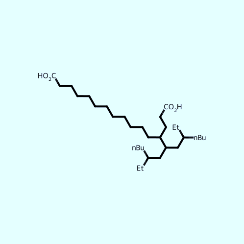 CCCCC(CC)CC(CC(CC)CCCC)C(CCCCCCCCCCCC(=O)O)CCC(=O)O